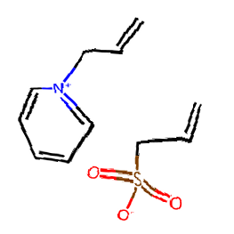 C=CCS(=O)(=O)[O-].C=CC[n+]1ccccc1